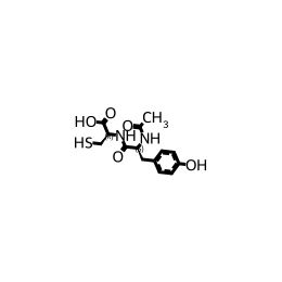 CC(=O)N[C@@H](Cc1ccc(O)cc1)C(=O)N[C@@H](CS)C(=O)O